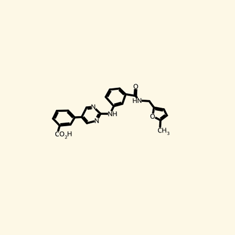 Cc1ccc(CNC(=O)c2cccc(Nc3ncc(-c4cccc(C(=O)O)c4)cn3)c2)o1